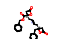 O=C1C[C@](C/C=C/C[C@]2(C(=O)OCc3ccccc3)CC(=O)O2)(Cc2ccccc2)O1